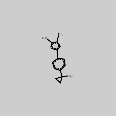 Cc1nc(-c2ccc(C3(C(=O)O)CC3)cc2)cn1C